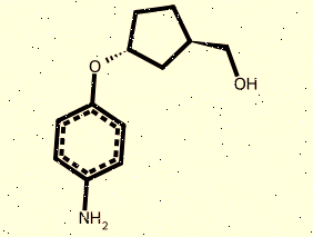 Nc1ccc(O[C@@H]2CC[C@@H](CO)C2)cc1